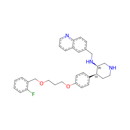 Fc1ccccc1COCCCOc1ccc([C@@H]2CCNC[C@@H]2NCc2ccc3ncccc3c2)cc1